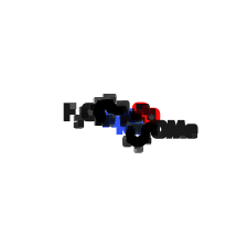 COC(=O)C1CCCc2nn(Cc3ccc(C(F)(F)F)cn3)c(=O)n21